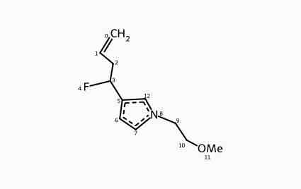 C=CCC(F)c1ccn(CCOC)c1